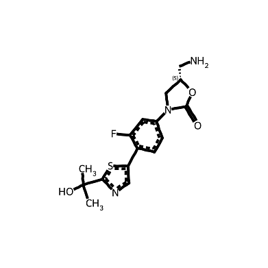 CC(C)(O)c1ncc(-c2ccc(N3C[C@H](CN)OC3=O)cc2F)s1